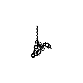 CCCCCCCCCCOC(=O)c1ccc(COc2ccccc2CN2CCN(C(=O)CNC(=O)CC3(C)CC4CC(C)CC(C4)C3)CC2)cc1